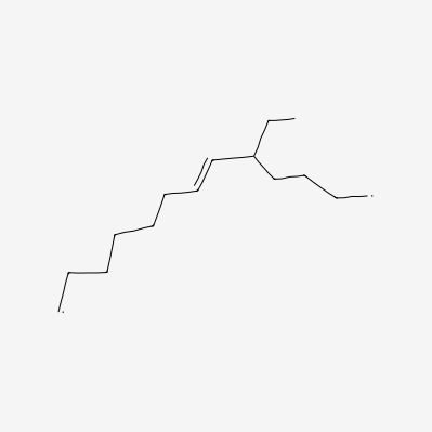 [CH2]CCCCCC=CC(CC)CCC[CH2]